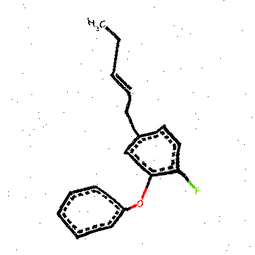 CCC=CCc1ccc(F)c(Oc2ccccc2)c1